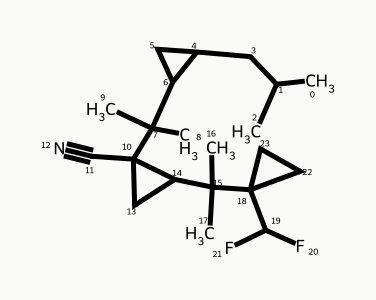 CC(C)CC1CC1C(C)(C)C1(C#N)CC1C(C)(C)C1(C(F)F)CC1